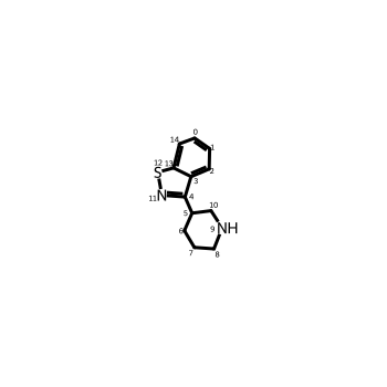 c1ccc2c(C3CCCNC3)nsc2c1